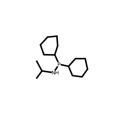 CC(C)NP(C1CCCCC1)C1CCCCC1